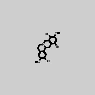 COc1cc2c(cc1O)C1Cc3c(Br)cc(OC)c(O)c3CN1CC2